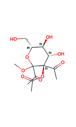 COC1(C(C)=O)O[C@H](CO)[C@@H](O)[C@H](O)[C@]1(OC(C)=O)C(C)=O